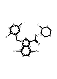 O=C(N[C@H]1CCCCC1O)c1cn(Cc2cc(F)ncc2F)c2c(F)ccc(F)c12